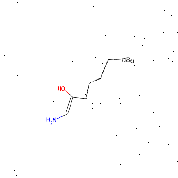 CCCCCCCC/C(O)=C/N